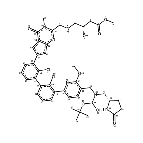 COC(=O)C[C@H](O)CNCc1nn2cc(-c3cccc(-c4cccc(-c5ccc(CN(C[C@@H]6CCC(=O)N6)C(O)OC(C)(C)C)c(OC)n5)c4Cl)c3Cl)cc2c(=O)n1C